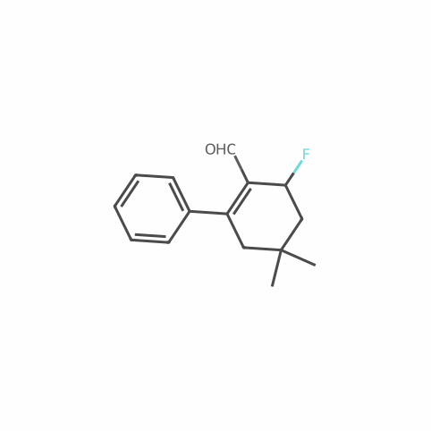 CC1(C)CC(c2ccccc2)=C(C=O)C(F)C1